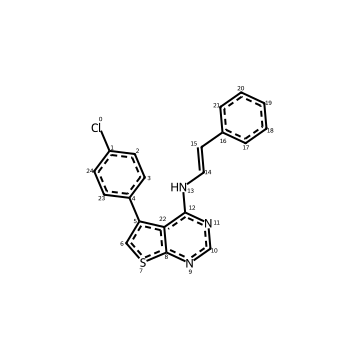 Clc1ccc(-c2csc3ncnc(NC=Cc4ccccc4)c23)cc1